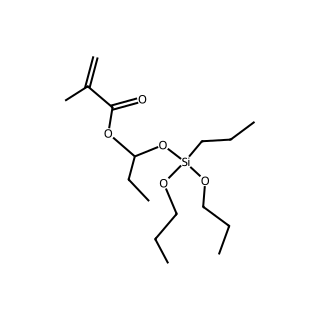 C=C(C)C(=O)OC(CC)O[Si](CCC)(OCCC)OCCC